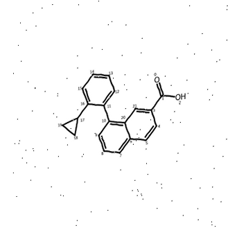 O=C(O)c1ccc2cccc(-c3ccccc3C3CC3)c2c1